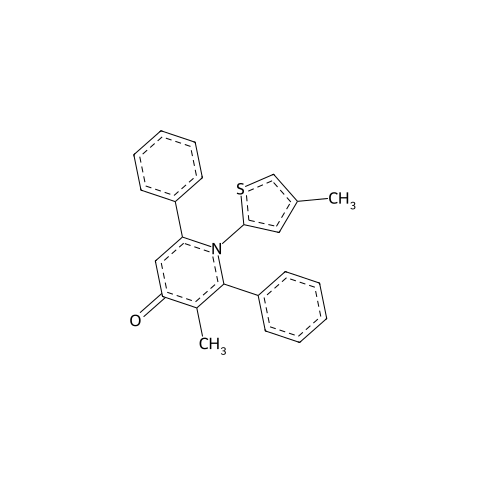 Cc1csc(-n2c(-c3ccccc3)cc(=O)c(C)c2-c2ccccc2)c1